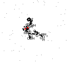 CN[C@H](C(=O)N[C@H](C(=O)N(C)[C@H](/C=C(\C)C(=O)N[C@@H](CCC(=O)O)C(=O)NCCN1C(=O)CC(SC[C@H](N)C(=O)O)C1=O)C(C)C)C(C)(C)C)C(C)(C)c1cn(C)c2ccccc12